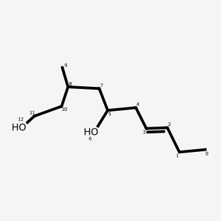 CCC=CCC(O)CC(C)CCO